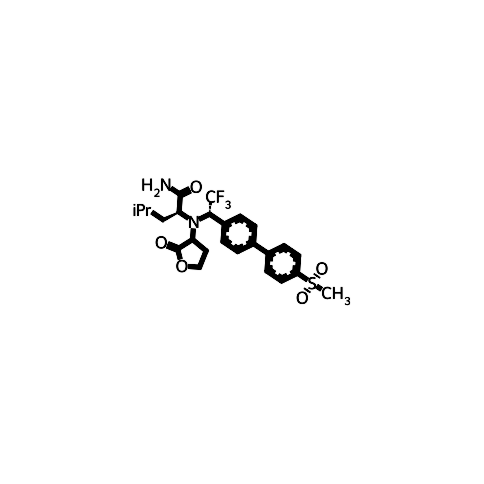 CC(C)C[C@@H](C(N)=O)N(C1CCOC1=O)[C@@H](c1ccc(-c2ccc(S(C)(=O)=O)cc2)cc1)C(F)(F)F